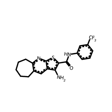 Nc1c(C(=O)Nc2cccc(C(F)(F)F)c2)sc2nc3c(cc12)CCCCC3